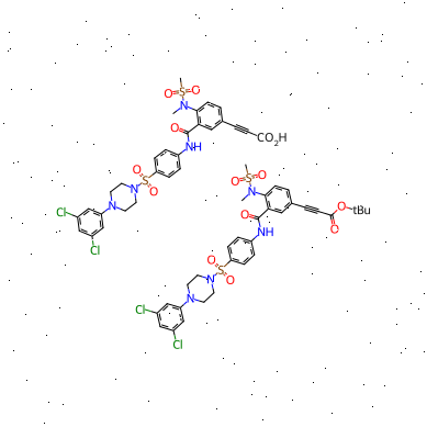 CN(c1ccc(C#CC(=O)O)cc1C(=O)Nc1ccc(S(=O)(=O)N2CCN(c3cc(Cl)cc(Cl)c3)CC2)cc1)S(C)(=O)=O.CN(c1ccc(C#CC(=O)OC(C)(C)C)cc1C(=O)Nc1ccc(S(=O)(=O)N2CCN(c3cc(Cl)cc(Cl)c3)CC2)cc1)S(C)(=O)=O